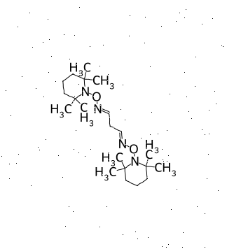 CC1(C)CCCC(C)(C)N1ON=CCC=NON1C(C)(C)CCCC1(C)C